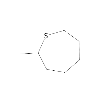 CC1CCCCCS1